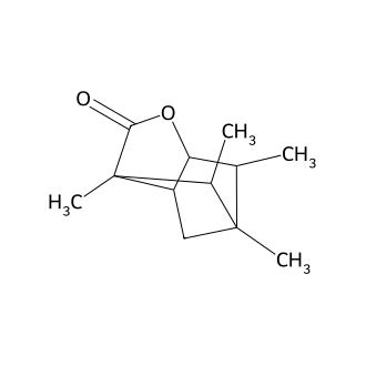 CC1C2OC(=O)C3(C)C2CC1(C)C3C